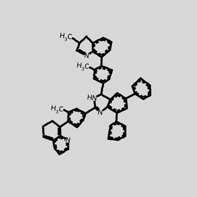 Cc1cc(C2=Nc3c(-c4ccccc4)cc(-c4ccccc4)cc3C(c3ccc(-c4cccc5c4N=CC(C)C5)c(C)c3)N2)ccc1C1=c2ncccc2=CCC1